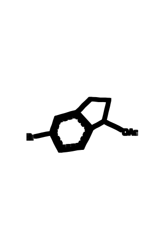 CC(=O)OC1CCc2cc(Br)ccc21